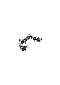 COc1cc(N2CCC(N3CCN(C(=O)C4CN(c5cc(F)c(C6CCC(=O)NC6=O)c(F)c5)C4)CC3)CC2)c(C)cc1Nc1ncc(Br)c(Nc2cccc3c2N(S(C)(=O)=O)CC3)n1